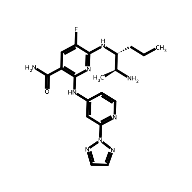 CCC[C@@H](Nc1nc(Nc2ccnc(-n3nccn3)c2)c(C(N)=O)cc1F)[C@H](C)N